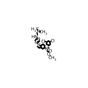 CCOC(=O)CN(Sc1cc(Cl)cc(Cl)c1)c1ccc2c(ccn2-c2cnc(NCCN(C)C)cn2)c1